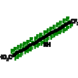 O=C(O)C(F)(F)C(F)(F)C(F)(F)C(F)(F)C(F)(F)C(F)(F)C(F)(F)C(F)(F)C(F)(F)C(F)(F)C(F)(F)C(F)(F)C(F)(F)C(F)(F)C(F)(F)C(F)(F)C(F)(F)C(F)(F)C(F)(F)F.[KH]